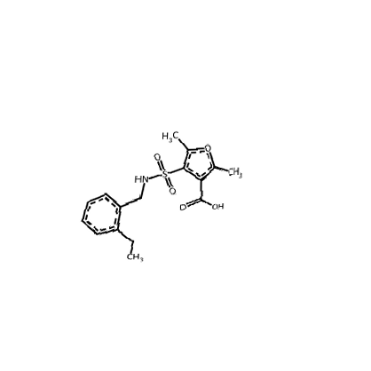 CCc1ccccc1CNS(=O)(=O)c1c(C)oc(C)c1C(=O)O